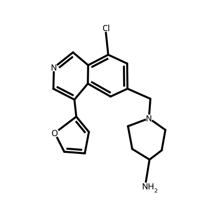 NC1CCN(Cc2cc(Cl)c3cncc(-c4ccco4)c3c2)CC1